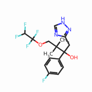 CC(C)(COC(F)(F)C(F)F)C(O)(Cc1nc[nH]n1)c1ccc(F)cc1